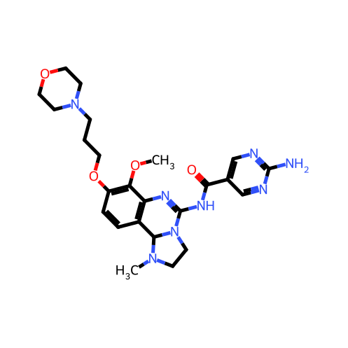 COc1c(OCCCN2CCOCC2)ccc2c1N=C(NC(=O)c1cnc(N)nc1)N1CCN(C)C21